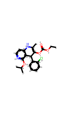 CCOC(=O)OC1=C(C)Nc2ccnc(OC(C)C)c2C1c1ccccc1Cl